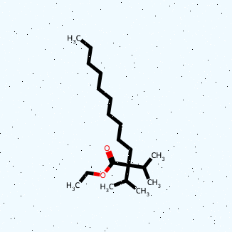 CCCCCCCCCCC(C(=O)OCC)(C(C)C)C(C)C